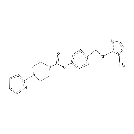 Cn1ccnc1SCc1ccc(OC(=O)N2CCN(c3ccccn3)CC2)cc1